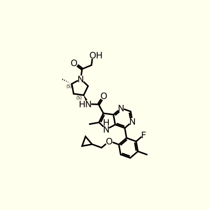 Cc1ccc(OCC2CC2)c(-c2ncnc3c(C(=O)N[C@H]4C[C@H](C)N(C(=O)CO)C4)c(C)[nH]c23)c1F